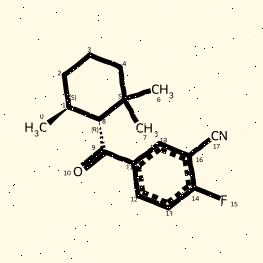 C[C@H]1CCCC(C)(C)[C@@H]1C(=O)c1ccc(F)c(C#N)c1